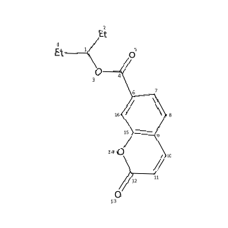 CCC(CC)OC(=O)c1ccc2ccc(=O)oc2c1